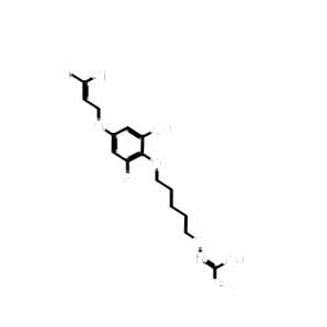 CCc1cc(OCC=C(Cl)Cl)cc(C)c1OCCCCCON=C(C)C(C)(C)C